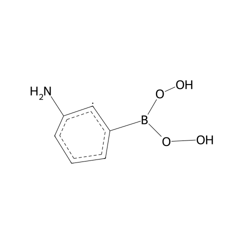 Nc1[c]c(B(OO)OO)ccc1